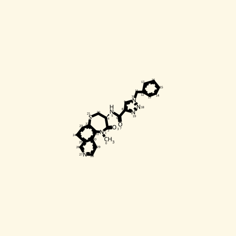 CN1C(=O)[C@@H](NC(=O)c2cn(Cc3ccccc3)nn2)CSc2ccc3cnccc3c21